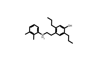 CCCc1cc(CC[SiH2]c2cccc(C)c2C)c(CCC)cc1O